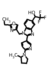 CCc1nc(Cn2c(-c3ccc(N4CCCC4C)nc3)nc3cc(C(O)C(F)(F)F)ccc32)co1